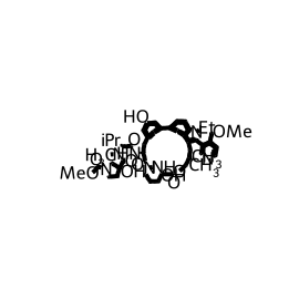 CCn1c(-c2cnccc2COC)c2c3cc(ccc31)-c1cc(O)cc(c1)C[C@H](NC(=O)[C@H](C(C)C)N(C)C(=O)[C@@]1(O)CCN(C(=O)OC)C1)C(=O)N1CCC[C@@](O)(N1)C(=O)OCC(C)(C)C2